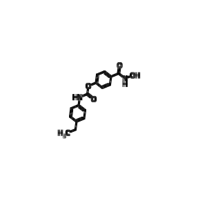 CCc1ccc(NC(=O)Oc2ccc(C(=O)NO)cc2)cc1